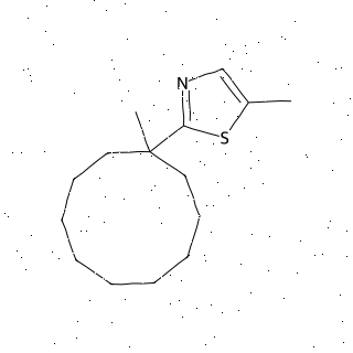 Cc1cnc(C2(C)CCCCCCCCC2)s1